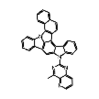 Cc1nc(-n2c3ccccc3c3c4c5ccc6ccccc6c5n5c6ccccc6c(cc32)c45)nc2cccnc12